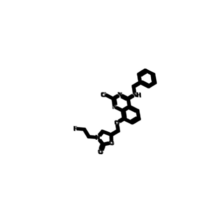 O=C1OC(COc2cccc3c(NCc4ccccc4)nc(Cl)nc23)CN1CCF